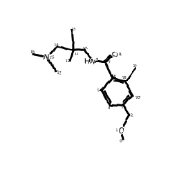 COCc1ccc(C(=O)NCC(C)(C)CN(C)C)c(C)c1